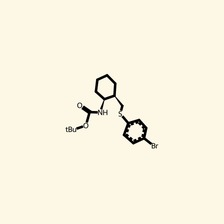 CC(C)(C)OC(=O)N[C@H]1CCCC[C@H]1CSc1ccc(Br)cc1